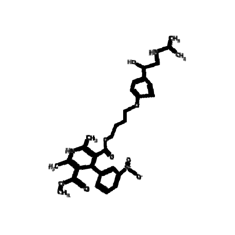 COC(=O)C1=C(C)NC(C)=C(C(=O)OCCCCOc2ccc(C(O)CNC(C)C)cc2)C1c1cccc([N+](=O)[O-])c1